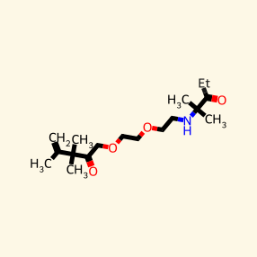 C=C(C)C(C)(C)C(=O)COCCOCCNC(C)(C)C(=O)CC